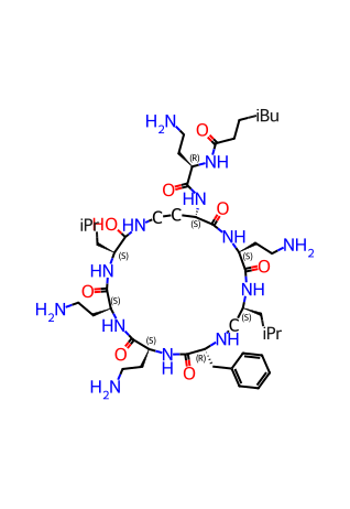 CCC(C)CCC(=O)N[C@H](CCN)C(=O)N[C@H]1CCNC(O)[C@H](CC(C)C)NC(=O)[C@H](CCN)NC(=O)[C@H](CCN)NC(=O)[C@@H](Cc2ccccc2)NC[C@H](CC(C)C)NC(=O)[C@H](CCN)NC1=O